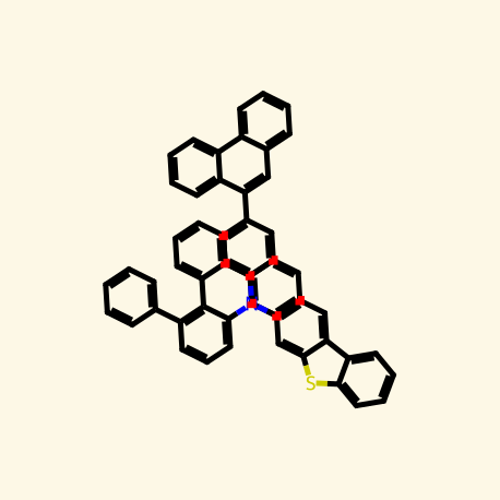 c1ccc(-c2ccccc2-c2c(-c3ccccc3)cccc2N(c2ccc(-c3cc4ccccc4c4ccccc34)cc2)c2ccc3c(c2)sc2ccccc23)cc1